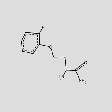 NC(=O)C(N)CCOc1ccccc1F